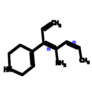 C=C/C(C1=CCNCC1)=C(N)\C=C/C